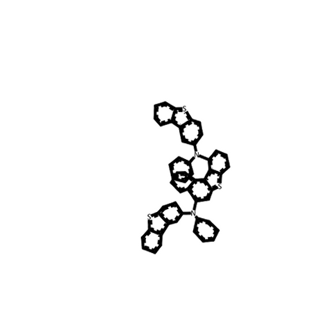 c1ccc(N(c2ccc3sc4ccccc4c3c2)c2cc3sc4cccc(N(c5ccccc5)c5ccc6sc7ccccc7c6c5)c4c3c3ccccc23)cc1